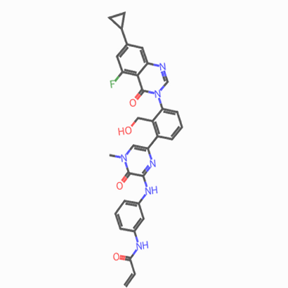 C=CC(=O)Nc1cccc(Nc2nc(-c3cccc(-n4cnc5cc(C6CC6)cc(F)c5c4=O)c3CO)cn(C)c2=O)c1